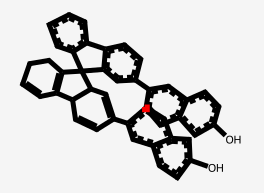 Oc1ccc2cc(C3=CC4C(C=C3)C3=C(CCC=C3)C43c4ccccc4-c4ccc(-c5ccc6cc(O)ccc6c5)cc43)ccc2c1